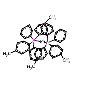 Cc1ccc([P]([Ba][P](c2ccccc2)(c2ccccc2)(c2ccc(C)cc2)c2ccc(C)cc2)(c2ccccc2)(c2ccccc2)c2ccc(C)cc2)cc1